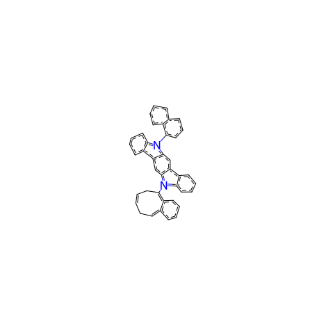 C1=CC/C(n2c3ccccc3c3cc4c(cc32)c2ccccc2n4-c2cccc3ccccc23)=c2/cccc/c2=C/C1